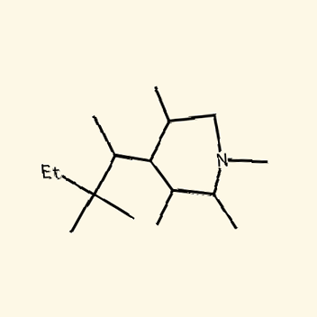 CCC(C)(C)C(C)C1C(C)CN(C)C(C)C1C